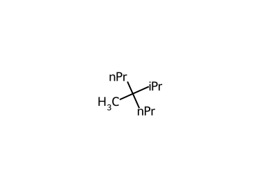 [CH2]CCC(C)(CCC)C(C)C